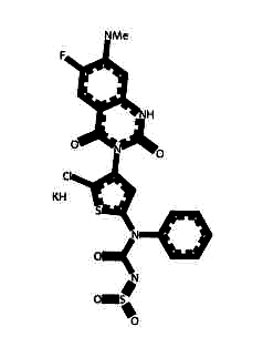 CNc1cc2[nH]c(=O)n(-c3cc(N(C(=O)N=S(=O)=O)c4ccccc4)sc3Cl)c(=O)c2cc1F.[KH]